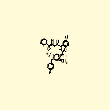 C[C@@H]1CN(Cc2ccc(F)cc2)[C@@H](C)CN1C(=O)COc1ccc(Cl)cc1NC(=O)CNC(=O)c1ccccc1I